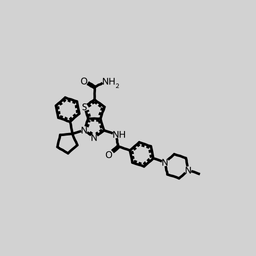 CN1CCN(c2ccc(C(=O)Nc3nn(C4(c5ccccc5)CCCC4)c4sc(C(N)=O)cc34)cc2)CC1